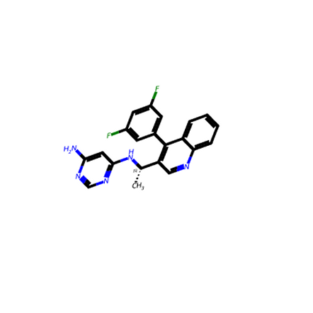 C[C@H](Nc1cc(N)ncn1)c1cnc2ccccc2c1-c1cc(F)cc(F)c1